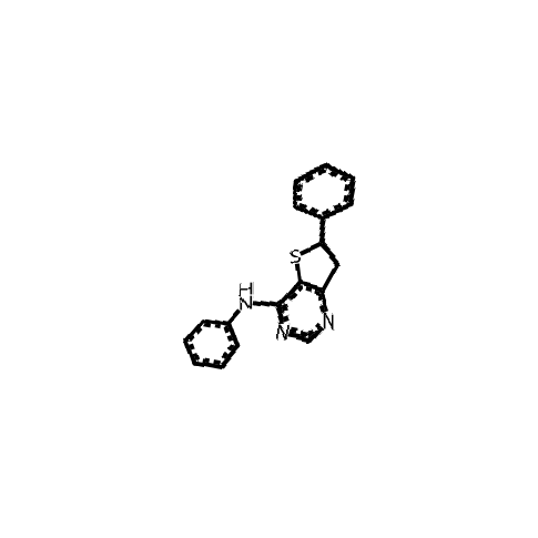 c1ccc(Nc2ncnc3c2SC(c2ccccc2)C3)cc1